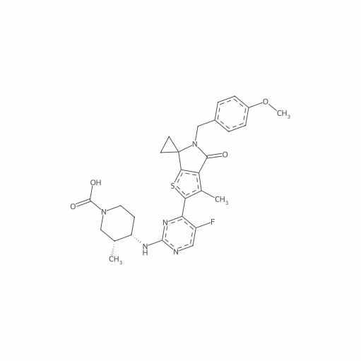 COc1ccc(CN2C(=O)c3c(sc(-c4nc(N[C@H]5CCN(C(=O)O)C[C@H]5C)ncc4F)c3C)C23CC3)cc1